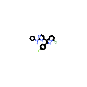 Fc1ccc(-c2nn3c(Cl)cccc3c2-c2ccnc(NC3CCCC3)n2)cc1